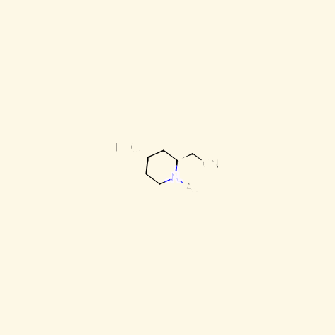 CC(=O)N1CC[C@H](C)C[C@H]1CC#N